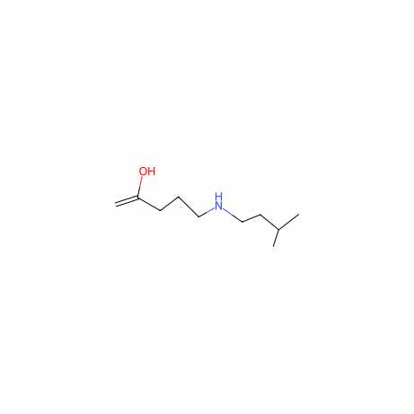 C=C(O)CCCNCCC(C)C